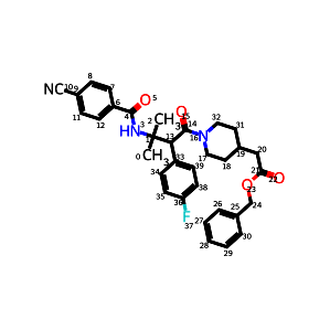 CC(C)(NC(=O)c1ccc(C#N)cc1)C(C(=O)N1CCC(CC(=O)OCc2ccccc2)CC1)c1ccc(F)cc1